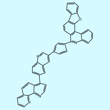 c1cnc2c(c1)ccc1c(-c3ccc4ncc(-c5ccc(-c6nc7ccccc7c7c6ccc6c8ccccc8oc67)cc5)cc4c3)ccnc12